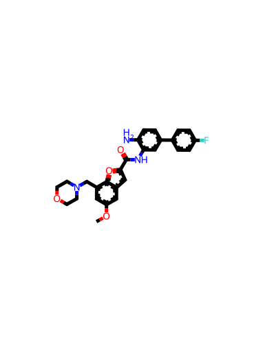 COc1cc(CN2CCOCC2)c2oc(C(=O)Nc3cc(-c4ccc(F)cc4)ccc3N)cc2c1